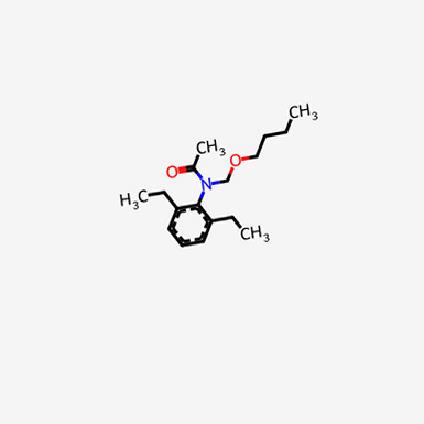 CCCCOCN(C(C)=O)c1c(CC)cccc1CC